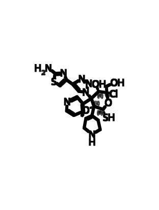 CO[C@@]1(C2=CCNCC2)[C@@H](S)O[C@](Cl)(CO)[C@H](O)C1(c1cccnc1)n1cc(-c2csc(N)n2)nn1